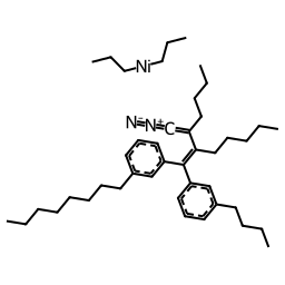 CCCCCCCCc1cccc(C(=C(CCCCC)C(=C=[N+]=[N-])CCCC)c2cccc(CCCC)c2)c1.CC[CH2][Ni][CH2]CC